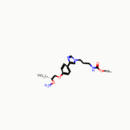 CC(C)(C)OC(=O)NCCCn1cnc(-c2ccc(OC[C@H](ON)C(=O)O)cc2)c1